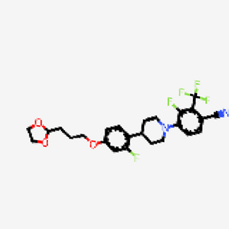 N#Cc1ccc(N2CCC(c3ccc(OCCCC4OCCO4)cc3F)CC2)c(F)c1C(F)(F)F